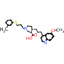 COc1ccc2nccc(CCC[C@@H]3CCN(CCCSc4cccc(C)c4)C[C@@H]3C(=O)O)c2c1